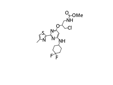 COC(=O)NCC(CCl)Oc1cc(NC2CCC(F)(F)CC2)nc(-c2nc(C)cs2)n1